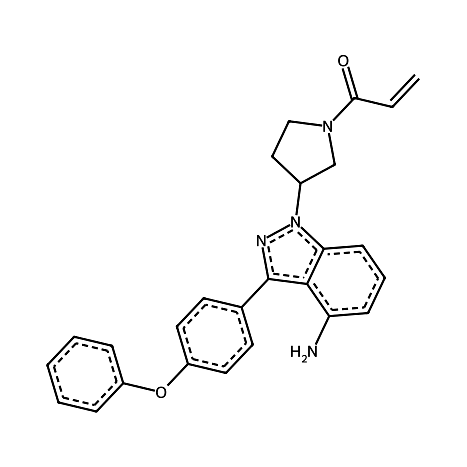 C=CC(=O)N1CCC(n2nc(-c3ccc(Oc4ccccc4)cc3)c3c(N)cccc32)C1